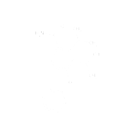 CC(C)c1c(Oc2ccccc2)ccc(C(N)=O)c1C(C)C